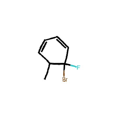 CC1C=CC=CC1(F)Br